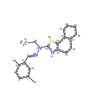 Cc1ccc(C)c(/C=N/N(CC(F)(F)F)c2nc3ccc4ccccc4c3s2)c1